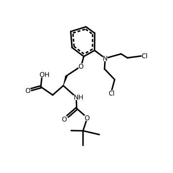 CC(C)(C)OC(=O)N[C@H](COc1ccccc1N(CCCl)CCCl)CC(=O)O